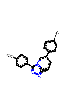 [C-]#[N+]c1ccc(-c2nnc3ccc(-c4ccc(C(C)(C)C)cc4)cn23)cc1